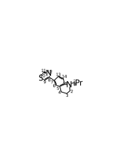 CC(C)N1CCCc2cc(-c3cscn3)ccc21